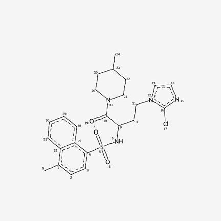 Cc1ccc(S(=O)(=O)NC(CCn2ccnc2Cl)C(=O)N2CCC(C)CC2)c2ccccc12